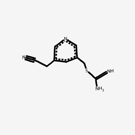 N#CCc1cncc(CSC(=N)N)c1